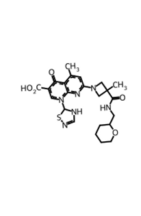 Cc1cc(N2CC(C)(C(=O)NCC3CCCCO3)C2)nc2c1c(=O)c(C(=O)O)cn2C1NC=NS1